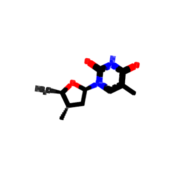 Cc1cn([C@H]2C[C@H](C)[C@@H](C(=O)O)O2)c(=O)[nH]c1=O